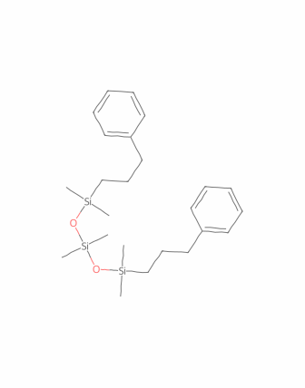 C[Si](C)(CCCc1ccccc1)O[Si](C)(C)O[Si](C)(C)CCCc1ccccc1